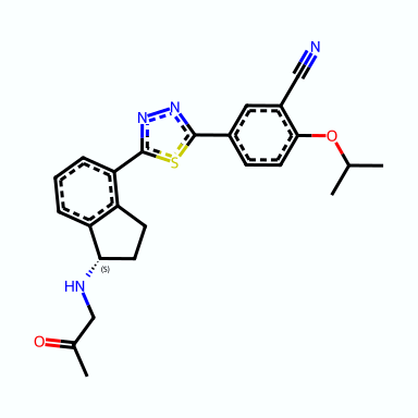 CC(=O)CN[C@H]1CCc2c(-c3nnc(-c4ccc(OC(C)C)c(C#N)c4)s3)cccc21